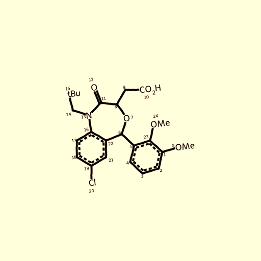 COc1cccc(C2OC(CC(=O)O)C(=O)N(CC(C)(C)C)c3ccc(Cl)cc32)c1OC